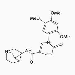 COc1cc(OC)c(-n2cc(C(=O)NC3CN4CCC3CC4)ccc2=O)cc1OC